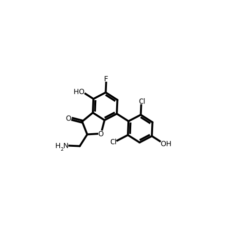 NCC1Oc2c(-c3c(Cl)cc(O)cc3Cl)cc(F)c(O)c2C1=O